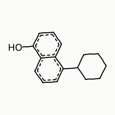 Oc1cccc2c(C3CCCCC3)cccc12